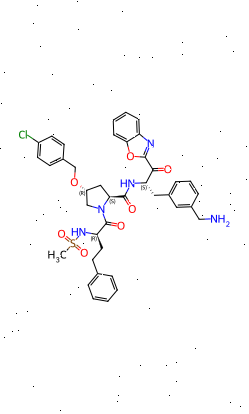 CS(=O)(=O)N[C@H](CCc1ccccc1)C(=O)N1C[C@H](OCc2ccc(Cl)cc2)C[C@H]1C(=O)N[C@@H](Cc1cccc(CN)c1)C(=O)c1nc2ccccc2o1